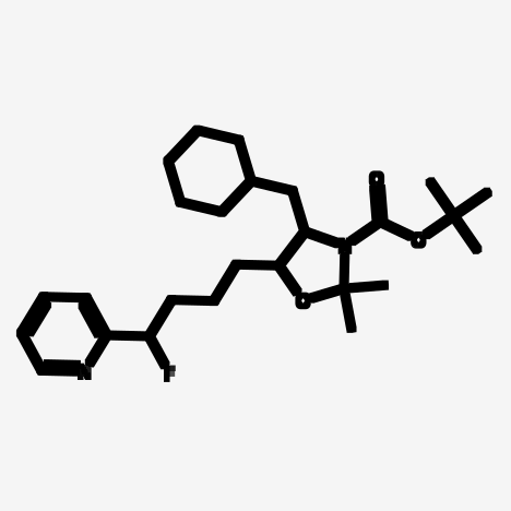 CC(C)(C)OC(=O)N1C(CC2CCCCC2)C(CCCC(F)c2ccccn2)OC1(C)C